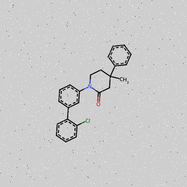 CC1(c2ccccc2)CCN(c2cccc(-c3ccccc3Cl)c2)C(=O)C1